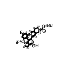 CC(C)Oc1cc(F)cc(F)c1-c1c(-c2cc3c(cn2)CCN(C(=O)OC(C)(C)C)C3)nc(O)c2ccsc12